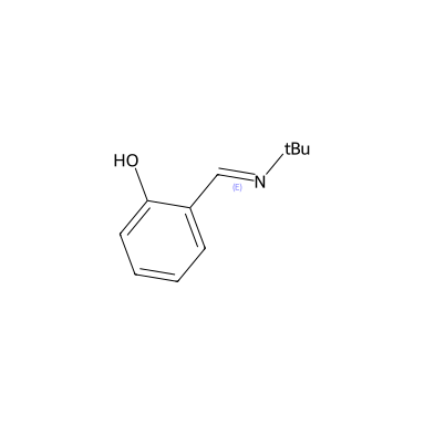 CC(C)(C)/N=C/c1ccccc1O